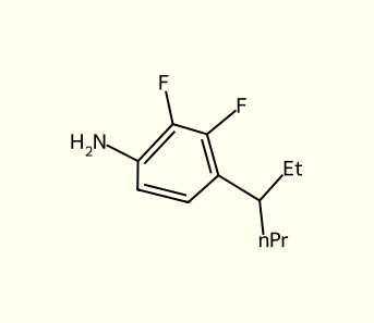 CCCC(CC)c1ccc(N)c(F)c1F